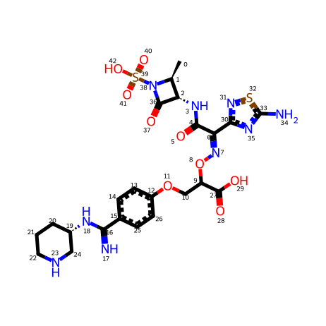 C[C@H]1[C@H](NC(=O)/C(=N\OC(COc2ccc(C(=N)N[C@H]3CCCNC3)cc2)C(=O)O)c2nsc(N)n2)C(=O)N1S(=O)(=O)O